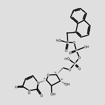 O=c1ccn([C@@H]2O[C@H](COP(=O)(O)OP(=O)(O)OP(=O)(O)Cc3cccc4ccccc34)[C@H](O)C2O)c(=O)[nH]1